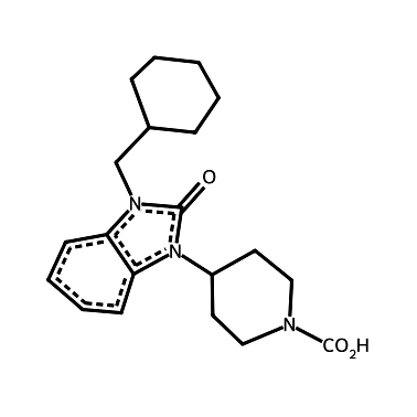 O=C(O)N1CCC(n2c(=O)n(CC3CCCCC3)c3ccccc32)CC1